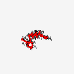 CO[C@@H](/C(C)=C/C=C/C(C)=C/c1coc(C)n1)[C@@H](C)[C@@H]1CC(OC(=O)OCCSSC[C@H](NC(=O)[C@H](CC(=O)O)NC(=O)[C@H](CC(=O)O)NC(=O)[C@H](CCCNC(=N)N)NC(=O)[C@H](CC(=O)O)NC(=O)CC[C@H](NC(=O)c2ccc(NCc3cnc4nc(N)[nH]c(=O)c4n3)cc2)C(=O)O)C(=O)O)[C@@]2(C)O[C@@H]2/C=C/[C@@H](C)[C@H]2C[C@H](CC(=O)O2)C[C@@H]2O[C@H]2C(=O)O1